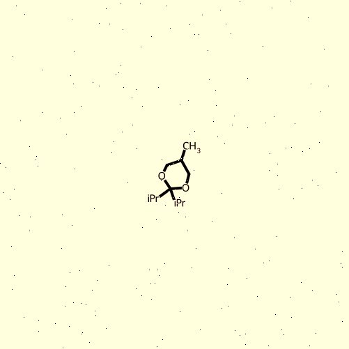 CC1COC(C(C)C)(C(C)C)OC1